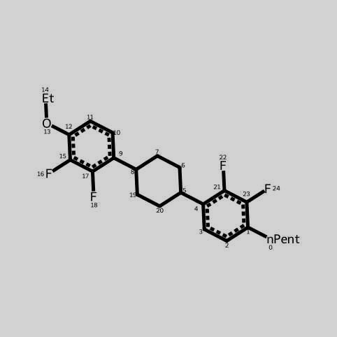 CCCCCc1ccc(C2CCC(c3ccc(OCC)c(F)c3F)CC2)c(F)c1F